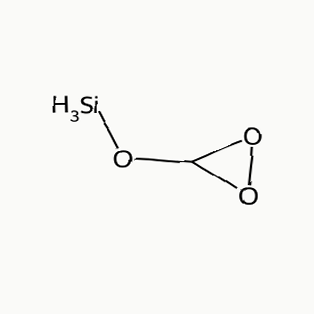 [SiH3]OC1OO1